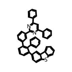 c1ccc(-c2cc(-c3ccccc3)nc(-c3cccc(-c4cccc(-c5ccc6sc7ccccc7c6c5)c4-c4ccccc4)c3)n2)cc1